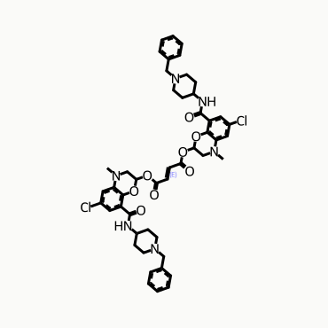 CN1CC(OC(=O)/C=C/C(=O)OC2CN(C)c3cc(Cl)cc(C(=O)NC4CCN(Cc5ccccc5)CC4)c3O2)Oc2c(C(=O)NC3CCN(Cc4ccccc4)CC3)cc(Cl)cc21